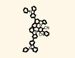 N#Cc1c(-c2ccccc2)c(C#N)c(-n2c3ccccc3c3cc(-c4ccc5c(c4)c4ccccc4n5-c4ccccc4)ccc32)c(-c2ccccc2)c1-n1c2ccccc2c2cc(-c3ccc4c(c3)c3ccccc3n4-c3ccccc3)ccc21